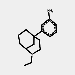 CCN1CCC2(c3cccc(N)c3)CCCC1C2